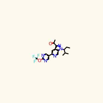 CCC(C(C)C)n1nc(C(C)=O)c2cc(-c3cnc(OC(F)(F)F)nc3)ncc21